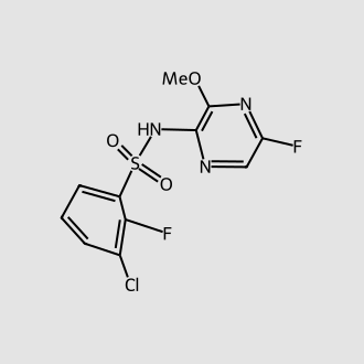 COc1nc(F)cnc1NS(=O)(=O)c1cccc(Cl)c1F